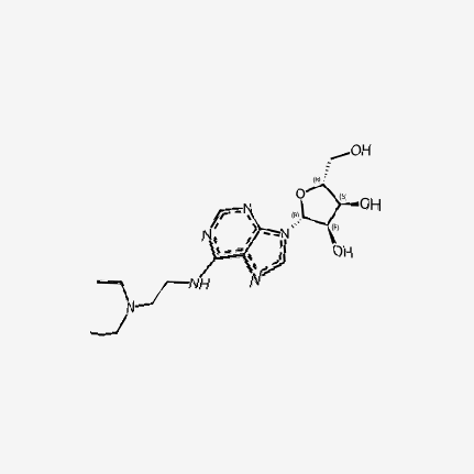 CCN(CC)CCNc1ncnc2c1ncn2[C@@H]1O[C@H](CO)[C@@H](O)[C@H]1O